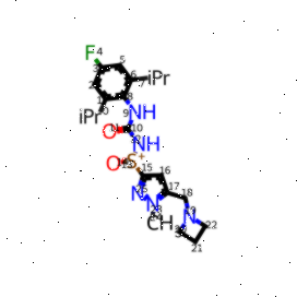 CC(C)c1cc(F)cc(C(C)C)c1NC(=O)N[S+]([O-])c1cc(CN2CCC2)n(C)n1